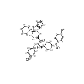 O=C(c1ccc(F)cc1)N1CCC(N[C@H](Cc2ccc(Cl)cc2)C(=O)N2CCC(Cn3cncn3)(C3CCCCC3)CC2)CC1